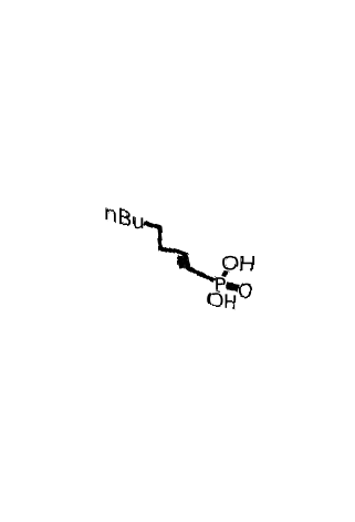 CCCCCC/C=C/P(=O)(O)O